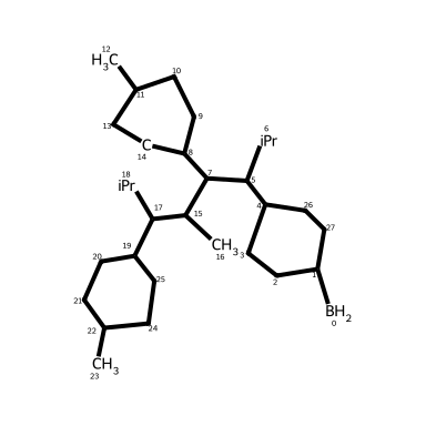 BC1CCC(C(C(C)C)C(C2CCC(C)CC2)C(C)C(C(C)C)C2CCC(C)CC2)CC1